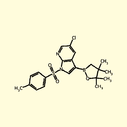 Cc1ccc(S(=O)(=O)n2cc(B3CC(C)(C)C(C)(C)O3)c3cc(Cl)cnc32)cc1